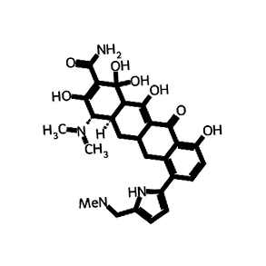 CNCc1ccc(-c2ccc(O)c3c2CC2C[C@@H]4C(C(O)=C2C3=O)C(O)(O)C(C(N)=O)=C(O)[C@H]4N(C)C)[nH]1